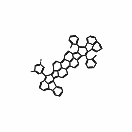 Cc1ccccc1-c1c2c3cccc4cccc(c2c(-c2ccccc2C)c2c5ccc6c7ccc8c9c(ccc(c%10ccc(c12)c5c%106)c79)c1c(-c2cc(F)cc(F)c2)c2cccc5c6ccccc6c(c25)c81)c43